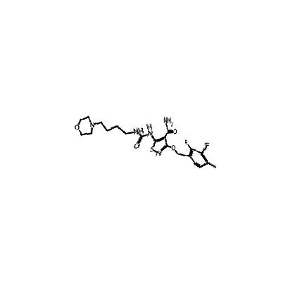 Cc1ccc(COc2nsc(NC(=O)NCCCCN3CCOCC3)c2C(N)=O)c(F)c1F